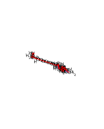 C=C/C=C/C=C(\C)[C@H](C[C@@H]1CC[C@@H](C)[C@](O)(C(=O)C(=O)N2CCCC[C@H]2C(=O)O[C@@H](C[C@@H](O)[C@H](C)/C=C(\C)[C@@H](O)[C@@H](OC)/C(=N/OCC(=O)NCCOCCOCCOCCOCCOCCOCCOCCOCCC(=O)NCCCCn2nc(-c3cnc4[nH]ccc4c3)c3c(N)ncnc32)[C@H](C)CC(C)C)[C@H](N)C[C@@H]2CC[C@@H](O)[C@H](OC)C2)O1)OC